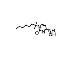 CCCCCCC(C)(C)n1ccc(NO)nc1=O